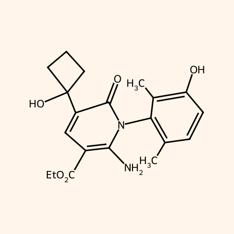 CCOC(=O)c1cc(C2(O)CCC2)c(=O)n(-c2c(C)ccc(O)c2C)c1N